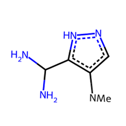 CNc1cn[nH]c1C(N)N